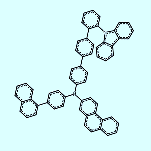 c1ccc(-n2c3ccccc3c3ccccc32)c(-c2ccc(-c3ccc(N(c4ccc(-c5cccc6ccccc56)cc4)c4ccc5c(ccc6ccccc65)c4)cc3)cc2)c1